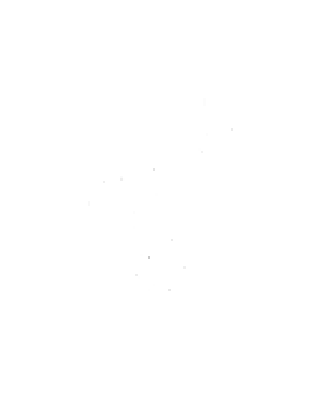 CC(C)(C)OC(=O)NCc1ccc(-c2nc3c(cc2-c2ccccc2)NC(=O)CO3)cc1